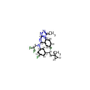 Cc1nnc2nc(N(CC(F)F)c3cc(F)cc(CCC4(C)CC4)c3)c3cc(F)ccc3n12